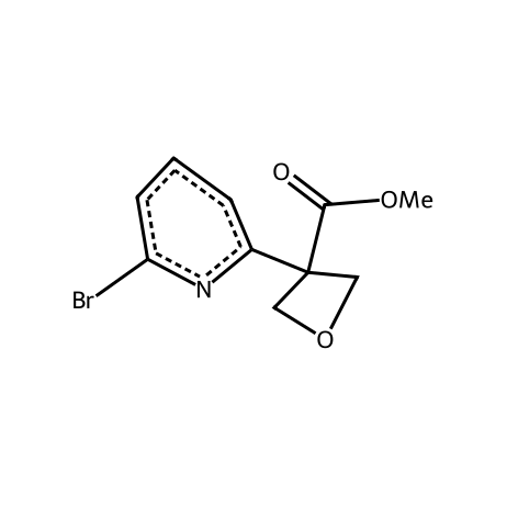 COC(=O)C1(c2cccc(Br)n2)COC1